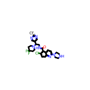 O=C(NCC(c1cnc(C(F)(F)F)nc1)N1CCC(F)(F)CC1)c1c(Cl)ccc2nc(N3CCNCC3)ccc12